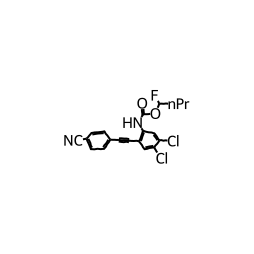 CCCC(F)OC(=O)Nc1cc(Cl)c(Cl)cc1C#Cc1ccc(C#N)cc1